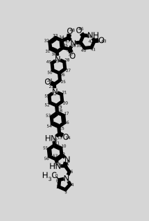 C[C@H]1CCCN1Cc1nc2cc(NC(=O)c3ccc(C4CCN(C(=O)CC5CCN(c6cccc7c6C(=O)N(C6CCC(=O)NC6=O)C7=O)CC5)CC4)cc3)ccc2[nH]1